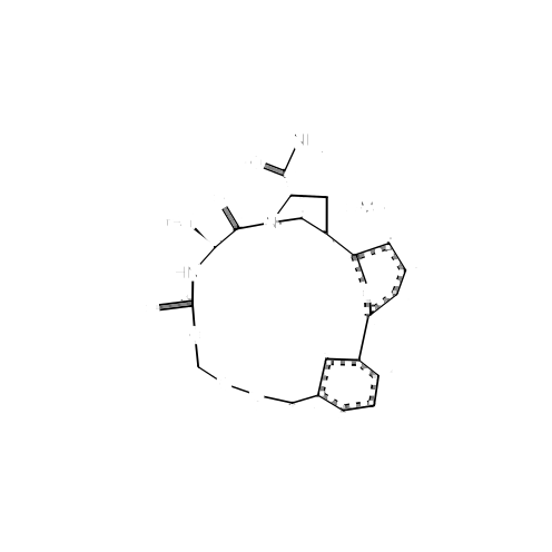 CO[C@@]12C[C@@H](C(N)=O)N(C1)C(=O)[C@H](C(C)(C)C)NC(=O)OCCCCc1cccc(c1)-c1cccc2c1